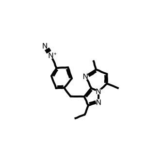 CCc1nn2c(C)cc(C)nc2c1Cc1ccc([N+]#N)cc1